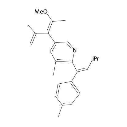 C=C(C)/C(=C(/C)OC)c1cnc(/C(=C\C(C)C)c2ccc(C)cc2)c(C)c1